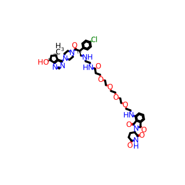 C[C@@H]1C[C@@H](O)c2ncnc(N3CCN(C(=O)[C@H](CNCCNC(=O)CCOCCOCCOCCOCCNc4cccc5c4C(=O)N(C4CCC(=O)NC4=O)C5=O)c4ccc(Cl)cc4)CC3)c21